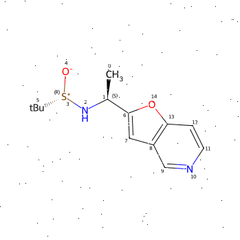 C[C@H](N[S@@+]([O-])C(C)(C)C)c1cc2cnccc2o1